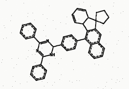 C1=CC2c3c(cc4ccccc4c3-c3ccc(C4N=C(c5ccccc5)N=C(c5ccccc5)N4)cc3)C3(CCCC3)C2C=C1